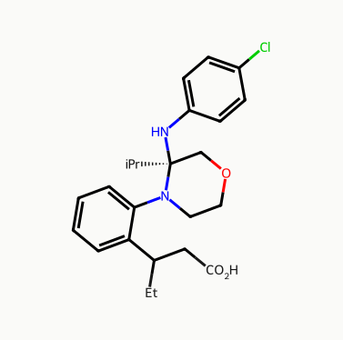 CCC(CC(=O)O)c1ccccc1N1CCOC[C@@]1(Nc1ccc(Cl)cc1)C(C)C